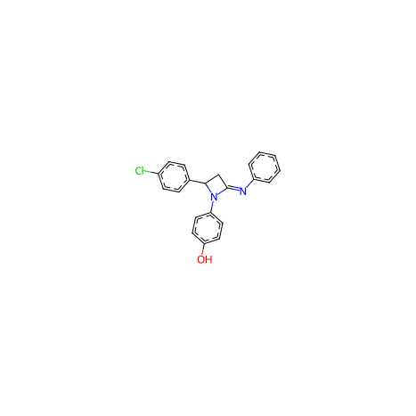 Oc1ccc(N2C(=Nc3ccccc3)CC2c2ccc(Cl)cc2)cc1